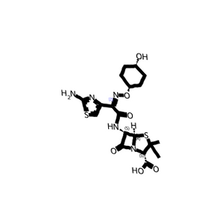 CC1(C)S[C@@H]2[C@@H](NC(=O)/C(=N\O[C@H]3CC[C@@H](O)CC3)c3csc(N)n3)C(=O)N2[C@H]1C(=O)O